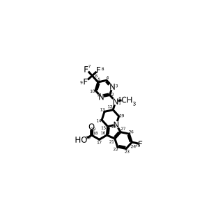 CN(c1ncc(C(F)(F)F)cn1)C1CCc2c(CC(=O)O)c3ccc(F)cc3n2C1